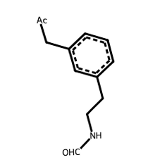 CC(=O)Cc1cccc(CCNC=O)c1